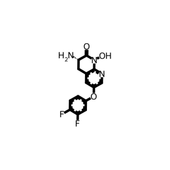 N[C@H]1Cc2cc(Oc3ccc(F)c(F)c3)cnc2N(O)C1=O